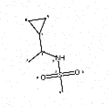 C[C](NS(C)(=O)=O)C1CC1